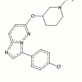 CN1CCCC(Oc2ccc3ncc(-c4ccc(Cl)cc4)n3n2)C1